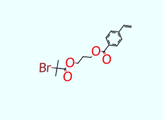 C=Cc1ccc(C(=O)OCCCOC(=O)C(C)(C)Br)cc1